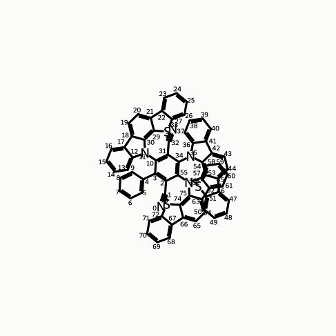 N#Cc1c(-c2ccccc2)c(-n2c3ccccc3c3ccc4c5ccccc5sc4c32)c(C#N)c(-n2c3ccccc3c3ccc4c5ccccc5sc4c32)c1-n1c2ccccc2c2ccc3c4ccccc4sc3c21